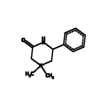 C[N+]1(C)CC(=O)NC(c2ccccc2)C1